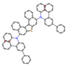 c1ccc(-c2ccc(N(c3ccccc3)c3cc4sc5cc(N(c6ccccc6)c6ccc(-c7ccccc7)cc6-c6ccccc6)c6ccccc6c5c4c4ccccc34)c(-c3ccccc3)c2)cc1